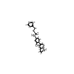 COc1cc(NC(=O)CCc2ccncc2)ccc1-c1cnc2[nH]ccc2c1